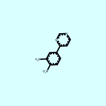 Nc1cc(-c2ccncn2)ccc1[N+](=O)[O-]